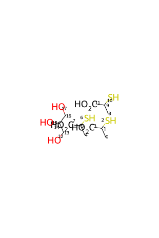 CC(S)C(=O)O.CC(S)C(=O)O.CC(S)C(=O)O.OCC(O)CO